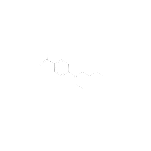 CCCCN(CC)c1ccc(C(C)=O)cc1